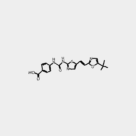 CC(C)(C)c1cnc(/C=C/c2cnc(NC(=O)Nc3ccc(C(=O)O)cc3)s2)o1